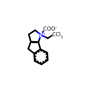 O=C([O-])[N+]1(CC(Cl)(Cl)Cl)CCC23CCCCC21c1ccccc1C3